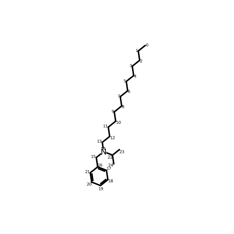 CCCCCCCCCCCCCCN(Cc1ccccc1)C(C)C